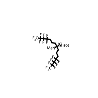 CCCCCCCC(CCCC(F)(F)C(F)(F)C(F)(F)C(F)(F)F)(CCCC(F)(F)C(F)(F)C(F)(F)C(F)(F)F)NC.Cl